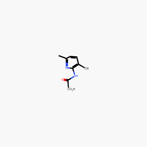 Cc1ccc(C#N)c(NC(=O)C(=O)O)n1